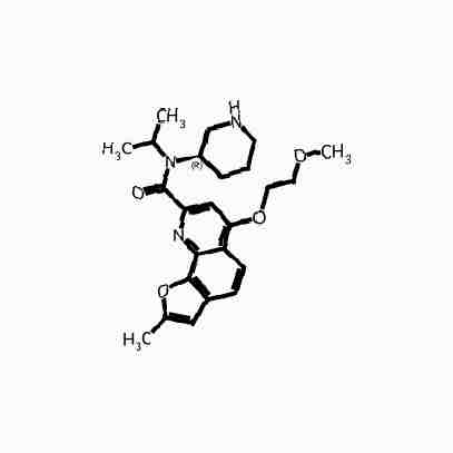 COCCOc1cc(C(=O)N(C(C)C)[C@@H]2CCCNC2)nc2c1ccc1cc(C)oc12